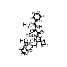 CCCCC(CC1(CCCSc2nccn2C)CCC1)(NC(=O)O)C(=O)C(=O)N[C@H](C)c1ccccc1